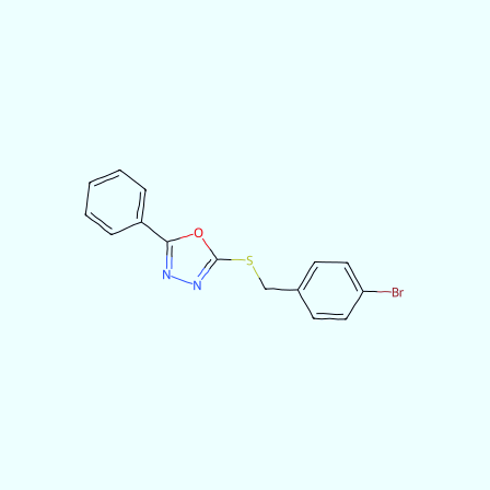 Brc1ccc(CSc2nnc(-c3ccccc3)o2)cc1